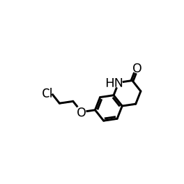 O=C1CCc2ccc(OCCCl)cc2N1